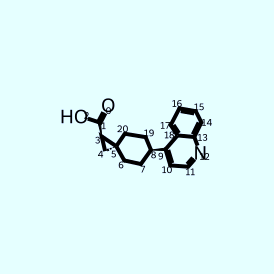 O=C(O)[C@@H]1C[C@]12CC[C@H](c1ccnc3ccccc31)CC2